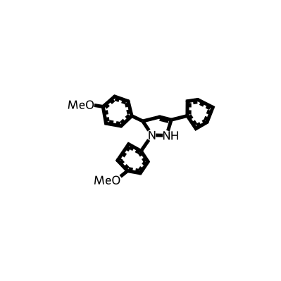 COc1ccc(C2C=C(c3ccccc3)NN2c2ccc(OC)cc2)cc1